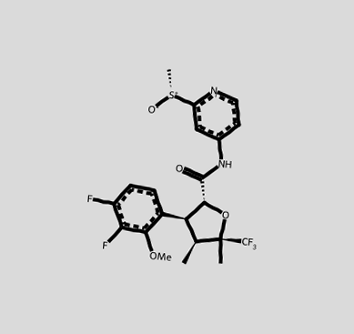 COc1c([C@H]2[C@H](C(=O)Nc3ccnc([S@@+](C)[O-])c3)O[C@@](C)(C(F)(F)F)[C@H]2C)ccc(F)c1F